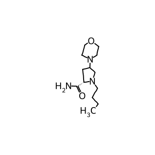 CCCCN1CC(N2CCOCC2)C[C@H]1C(N)=O